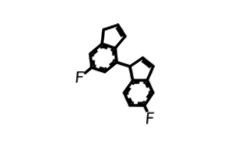 Fc1ccc2c(c1)C=CC2c1cc(F)cc2c1C=CC2